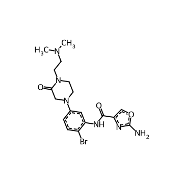 CN(C)CCN1CCN(c2ccc(Br)c(NC(=O)c3coc(N)n3)c2)CC1=O